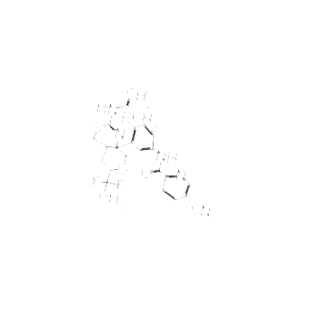 C=C(C)NC1=NC2(c3cc(NC(=O)c4ccc(C#N)cn4)ccc3F)COC(C(C)(F)F)CC2CS1